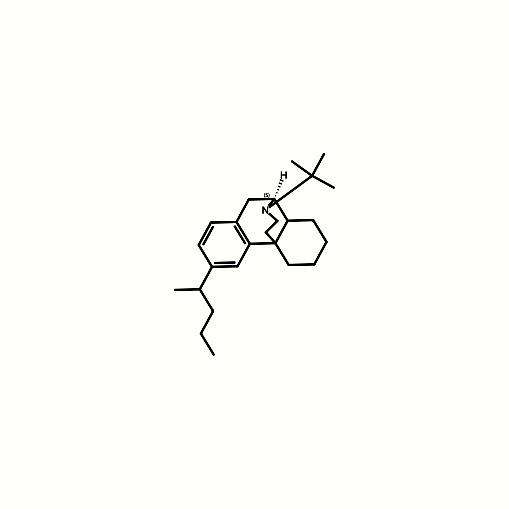 CCCC(C)c1ccc2c(c1)C13CCCCC1[C@H](C2)N(C(C)(C)C)CC3